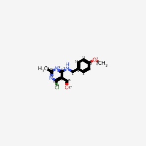 COc1ccc(CNc2nc(C)nc(Cl)c2C=O)cc1